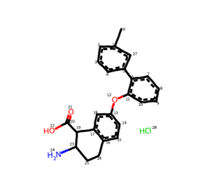 Cc1cccc(-c2ccccc2Oc2ccc3c(c2)C(C(=O)O)C(N)CC3)c1.Cl